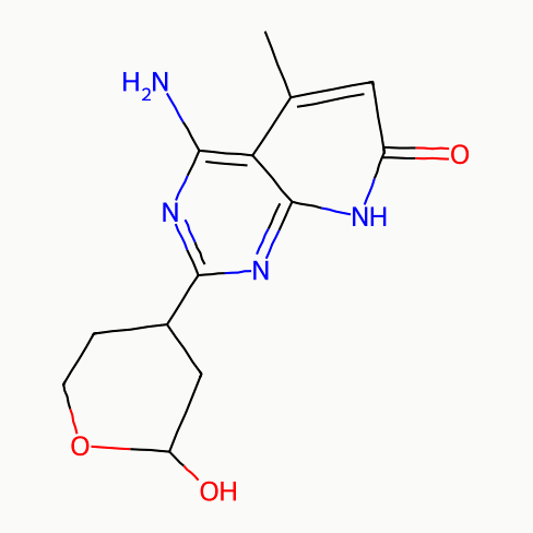 Cc1cc(=O)[nH]c2nc(C3CCOC(O)C3)nc(N)c12